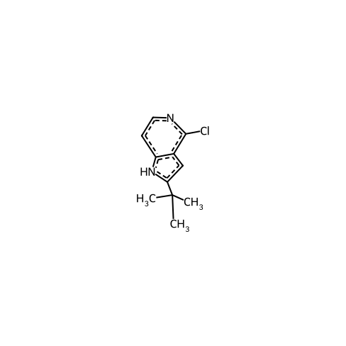 CC(C)(C)c1cc2c(Cl)nccc2[nH]1